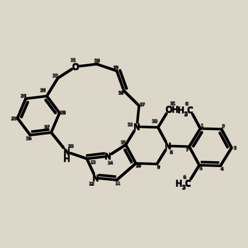 Cc1cccc(C)c1N1Cc2cnc3nc2N(C/C=C/COCc2cccc(c2)N3)C1O